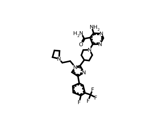 NC(=O)c1c(N)ncnc1N1CCC(c2nc(-c3ccc(F)c(C(F)(F)F)c3)cn2CCN2CCC2)CC1